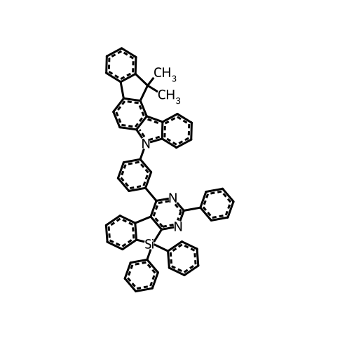 CC1(C)c2ccccc2-c2ccc3c(c21)c1ccccc1n3-c1cccc(-c2nc(-c3ccccc3)nc3c2-c2ccccc2[Si]3(c2ccccc2)c2ccccc2)c1